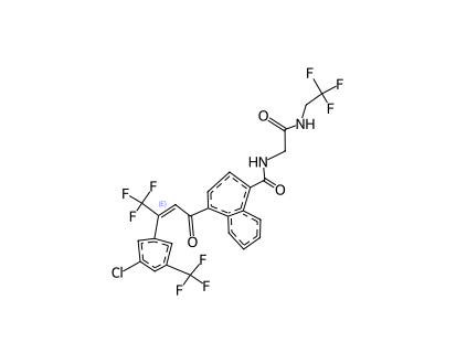 O=C(CNC(=O)c1ccc(C(=O)/C=C(\c2cc(Cl)cc(C(F)(F)F)c2)C(F)(F)F)c2ccccc12)NCC(F)(F)F